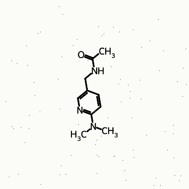 CC(=O)NCc1ccc(N(C)C)nc1